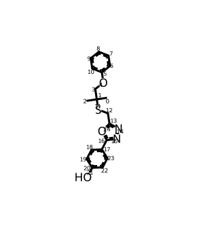 CC(C)(COc1ccccc1)SCc1nnc(-c2ccc(O)cc2)o1